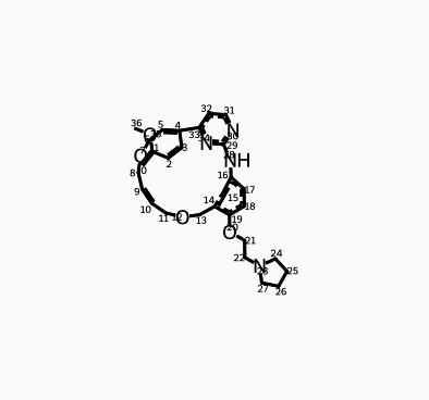 C=C(/C=C\C1=C/COC/C=C\COCc2cc(ccc2OCCN2CCCC2)Nc2nccc1n2)OC